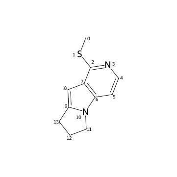 CSc1nccc2c1cc1n2CC[CH]1